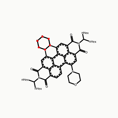 CCCCCCC(CCCCCC)N1C(=O)c2ccc3c4c(N5CCOCC5)cc5c6c(cc(N7CCOCC7)c(c7c(N8CCOCC8)cc(c2c37)C1=O)c64)C(=O)N(C(CCCCCC)CCCCCC)C5=O